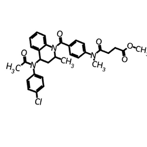 COC(=O)CCC(=O)N(C)c1ccc(C(=O)N2c3ccccc3C(N(C(C)=O)c3ccc(Cl)cc3)CC2C)cc1